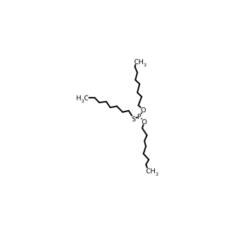 CCCCCCCCOP(OCCCCCCCC)SCCCCCCCC